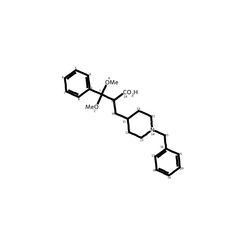 COC(OC)(c1ccccc1)C(CC1CCN(Cc2ccccc2)CC1)C(=O)O